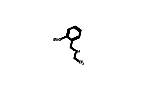 COc1ccccc1CNCC(F)(F)F